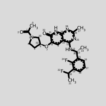 CC(=O)N1CC[C@H](Oc2cc3c(N[C@H](C)c4cccc(C(C)F)c4F)nc(C)nc3[nH]c2=O)C1